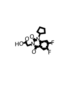 O=C(O)Cn1c(=O)c2cc(F)c(F)cc2n(C2CCCC2)c1=O